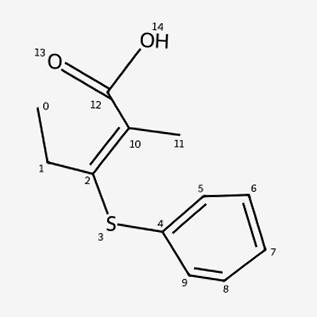 CCC(Sc1ccccc1)=C(C)C(=O)O